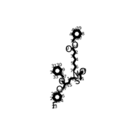 O=C(CCCCCCN1C(=O)CSC1CCC(COc1ccc(F)cc1)OCc1ccccc1)OCc1ccccc1